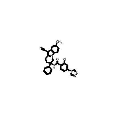 Cc1ccc2c(c1)c(C#N)c1n2CC(NC(=O)c2ccc(-n3cnnc3)cc2Cl)(c2ccccc2)CC1